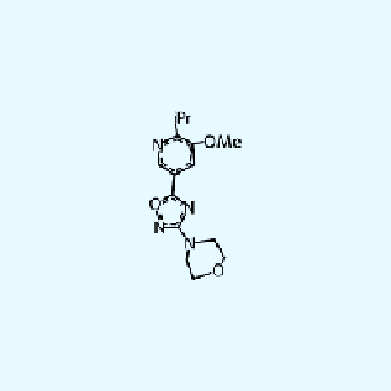 COc1cc(-c2nc(N3CCOCC3)no2)cnc1C(C)C